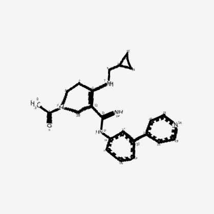 CC(=O)N1CCC(NCC2CC2)=C(C(=N)Nc2cccc(-c3ccncc3)c2)C1